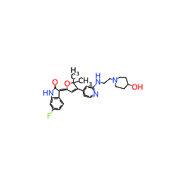 CC1(C)OC(=C2C(=O)Nc3cc(F)ccc32)C=C1c1ccnc(NCCN2CCC(O)CC2)c1